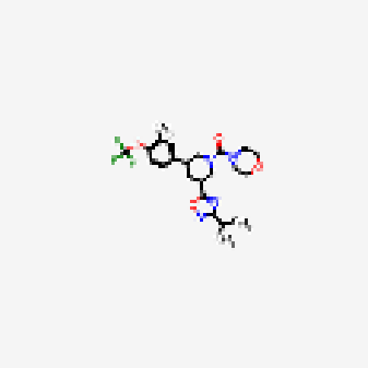 Cc1cc(C2CC(c3nc(C(C)C)no3)CN(C(=O)N3CCOCC3)C2)ccc1OC(F)(F)F